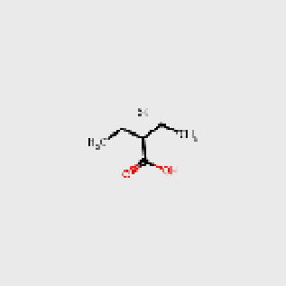 CCC(CC)C(=O)O.[Si]